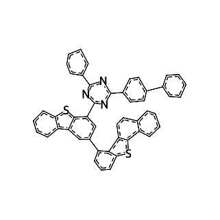 c1ccc(-c2ccc(-c3nc(-c4ccccc4)nc(-c4cc(-c5cccc6sc7c8ccccc8ccc7c56)cc5c4sc4ccccc45)n3)cc2)cc1